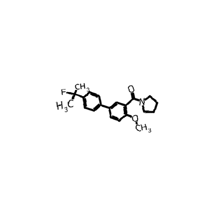 COc1ccc(-c2ccc(C(C)(C)F)cc2)cc1C(=O)N1CCCC1